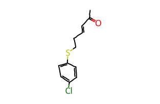 CC(=O)/C=C/CCSc1ccc(Cl)cc1